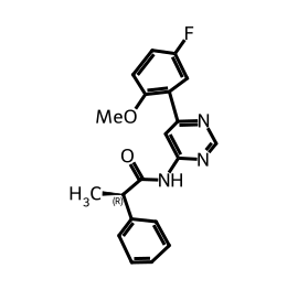 COc1ccc(F)cc1-c1cc(NC(=O)[C@H](C)c2ccccc2)ncn1